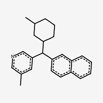 Cc1cncc(C(c2ccc3ccccc3c2)C2CCCC(C)C2)c1